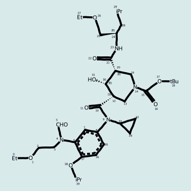 CCOCCN(C=O)c1cc(N(C(=O)[C@H]2CN(C(=O)OC(C)(C)C)C[C@@H](C(=O)N[C@@H](COCC)CC(C)C)[C@H]2O)C2CC2)ccc1OC(C)C